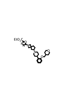 CCOC(=O)c1nnc(N2CC3(CC[C@@H](N4CCC(c5ccccc5OCC5CCOCC5)CC4)C3)C2)o1